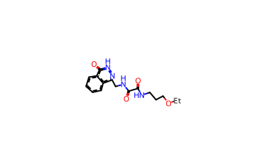 CCOCCCNC(=O)C(=O)NCc1n[nH]c(=O)c2ccccc12